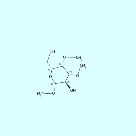 CO[C@@H]1O[C@H](CO)[C@H](OC)[C@H](OC)[C@H]1O